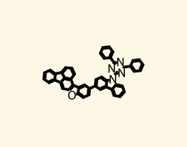 c1ccc(-c2nc(-c3ccccc3)nc(-n3c4ccccc4c4cc(-c5ccc6oc7cc8c9c(cccc9c7c6c5)-c5ccccc5-8)ccc43)n2)cc1